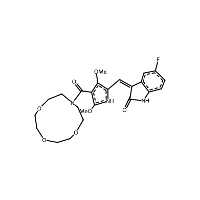 COc1[nH]c(/C=C2\C(=O)Nc3ccc(F)cc32)c(OC)c1C(=O)N1CCOCCOCCOCC1